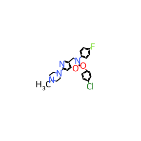 CN1CCN(c2ccc(CN(C(=O)Oc3ccc(Cl)cc3)c3ccc(F)cc3)cn2)CC1